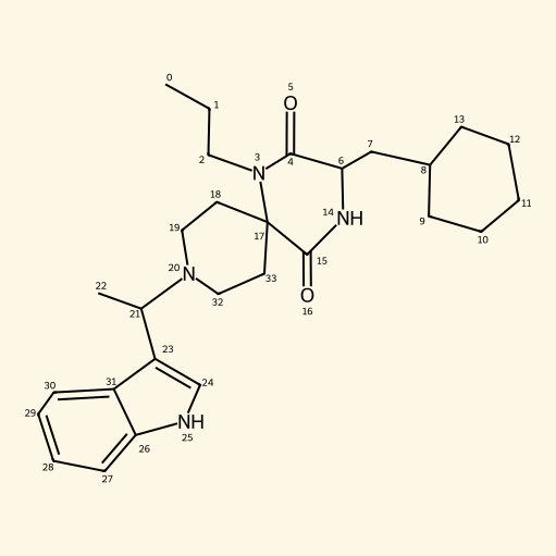 CCCN1C(=O)C(CC2CCCCC2)NC(=O)C12CCN(C(C)c1c[nH]c3ccccc13)CC2